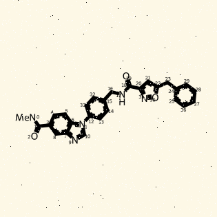 CNC(=O)c1ccc2c(c1)ncn2-c1ccc(CNC(=O)c2cc(Cc3ccccc3)on2)cc1